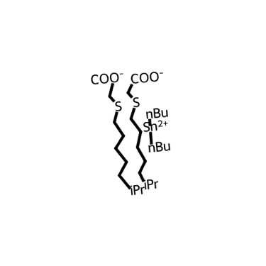 CC(C)CCCCCSCC(=O)[O-].CC(C)CCCCCSCC(=O)[O-].CCC[CH2][Sn+2][CH2]CCC